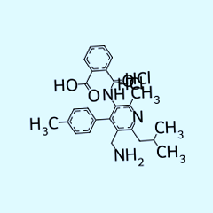 Cc1ccc(-c2c(CN)c(CC(C)C)nc(C)c2NC(=O)c2ccccc2C(=O)O)cc1.Cl.Cl